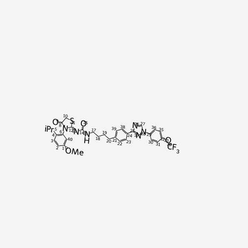 COc1ccc(C(C)C)c(N2C(=O)CS/C2=N\C(=O)NCCCCc2ccc(-c3ncn(-c4ccc(OC(F)(F)F)cc4)n3)cc2)c1